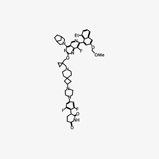 CCc1cccc2cc(OCOC)cc(-c3ncc4c(N5CC6CCC(C6)C5)nc(OCC5(CN6CCC7(CC6)CC(N6CCN(c8cc(F)c(C9CCC(=O)NC9=O)c(F)c8)CC6)C7)CC5)nc4c3F)c12